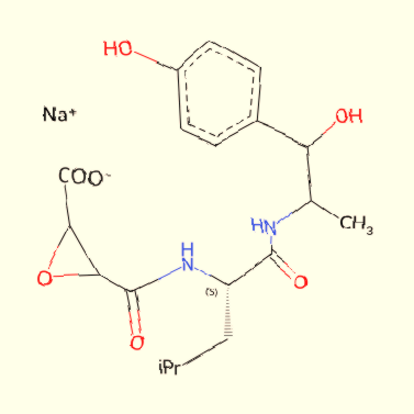 CC(C)C[C@H](NC(=O)C1OC1C(=O)[O-])C(=O)NC(C)C(O)c1ccc(O)cc1.[Na+]